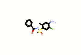 Cc1cc(N)c(Cl)cc1S(C)(=O)=NC(=O)c1ccccc1